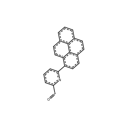 O=Pc1cccc(-c2ccc3ccc4cccc5ccc2c3c45)n1